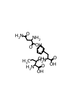 CCC(C)C(N)C(=O)O.NC(=O)CC(N)C(=O)O.NC(Cc1ccccc1)C(=O)O